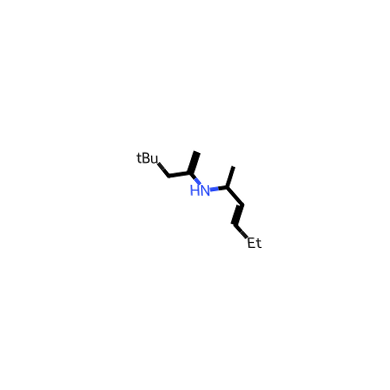 C=C(CC(C)(C)C)NC(C)/C=C/CC